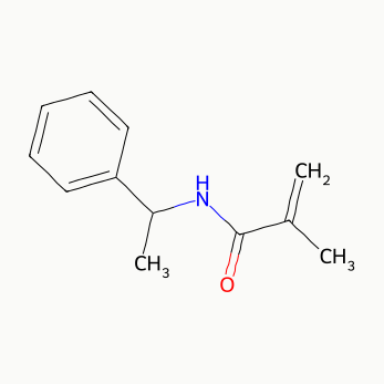 C=C(C)C(=O)NC(C)c1ccccc1